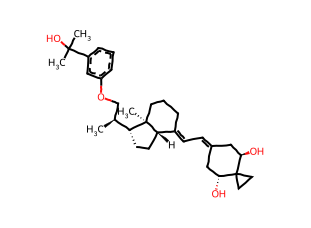 C[C@@H](COc1cccc(C(C)(C)O)c1)[C@H]1CC[C@H]2/C(=C/C=C3C[C@@H](O)C4(CC4)[C@H](O)C3)CCC[C@]12C